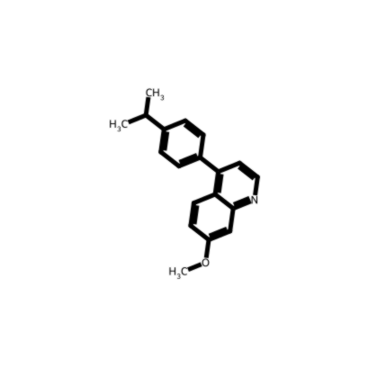 COc1ccc2c(-c3ccc(C(C)C)cc3)ccnc2c1